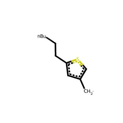 [CH2]c1csc(CCCCCC)c1